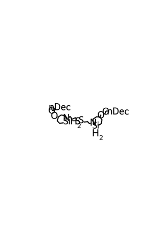 CCCCCCCCCCOCOC1CCC[SiH2]N(CCCSSCCCN2CCC(OCOCCCCCCCCCC)CCC[SiH2]2)CC1